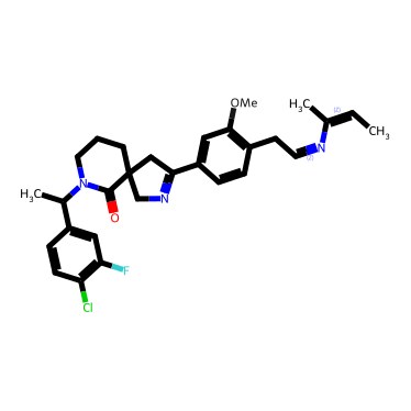 C/C=C(C)\N=C/Cc1ccc(C2=NCC3(CCCN(C(C)c4ccc(Cl)c(F)c4)C3=O)C2)cc1OC